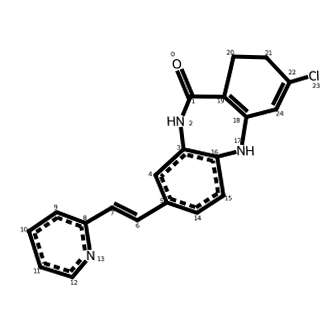 O=C1Nc2cc(C=Cc3ccccn3)ccc2NC2=C1CCC(Cl)=C2